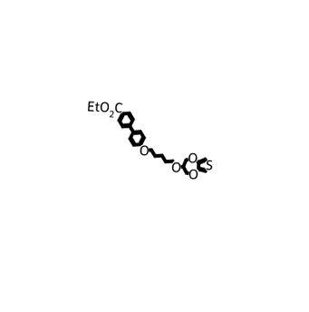 CCOC(=O)c1ccc(-c2ccc(OCCCCCOC3COc4cscc4OC3)cc2)cc1